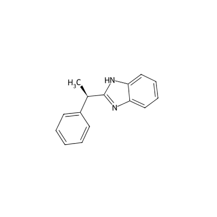 C[C@H](c1ccccc1)c1nc2ccccc2[nH]1